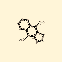 O=Cc1c2ccccc2c(C=O)c2occc12